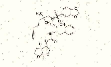 CC(C)(CCCC#N)CN(C[C@H](O)[C@H](Cc1ccccc1)NC(=O)O[C@H]1CO[C@H]2OCC[C@H]21)S(=O)(=O)c1ccc2c(c1)OCO2